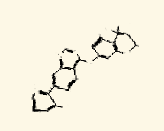 CC1(C)CCNc2cc(Nc3ncnc4cc(-c5ncccc5C(F)(F)F)ccc34)ccc21